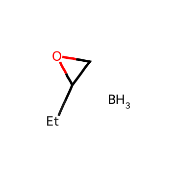 B.CCC1CO1